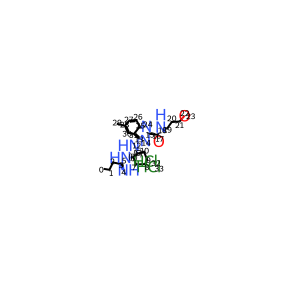 CCCC(=N)N[C@@H]1CCCC[C@@H]1Nc1nc(C(=O)NCCCOC)nc2ccc(C)cc12.Cl.Cl